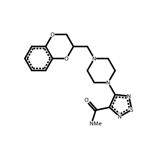 CNC(=O)c1nsnc1N1CCN(CC2COc3ccccc3O2)CC1